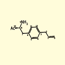 C=CCc1ccc(C[C@H](N)C(C)=O)cc1